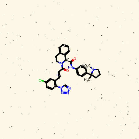 CC1(c2ccc(NC(=O)[C@@H]3c4ccccc4CCN3C(=O)/C=C/c3cc(Cl)ccc3-n3cnnn3)cc2)CCCN1C(=O)O